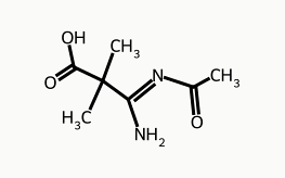 CC(=O)N=C(N)C(C)(C)C(=O)O